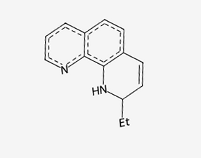 CCC1C=Cc2ccc3cccnc3c2N1